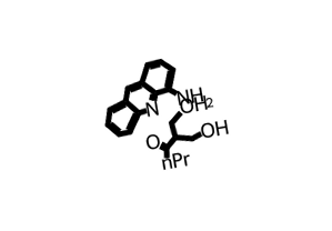 CCCC(=O)C(CO)CO.Nc1cccc2cc3ccccc3nc12